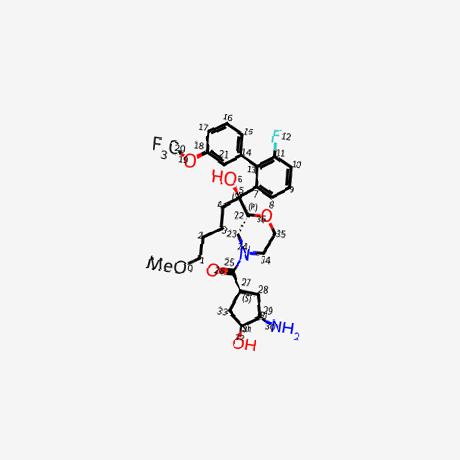 COCCCC[C@](O)(c1cccc(F)c1-c1cccc(OC(F)(F)F)c1)[C@H]1CN(C(=O)[C@H]2C[C@@H](N)[C@@H](O)C2)CCO1